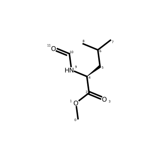 COC(=O)[C@H](CC(C)C)NC=O